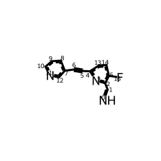 N=Cc1nc(C#Cc2cccnc2)ccc1F